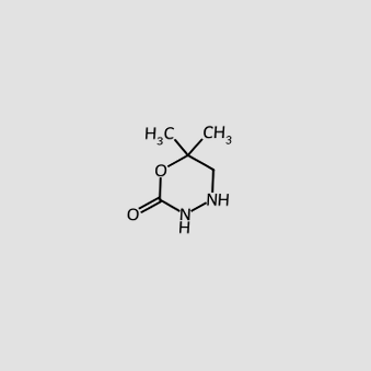 CC1(C)CNNC(=O)O1